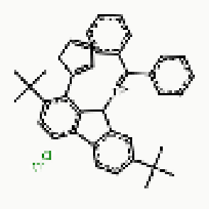 CC(C)(C)c1ccc2c(c1)[CH]([Ti+2]=[C](c1ccccc1)c1ccccc1)c1c-2ccc(C(C)(C)C)c1C1=CC=CC1.[Cl-].[Cl-]